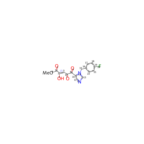 COC(=O)/C(O)=C/C(=O)C(=O)c1cncn1Cc1ccc(F)cc1